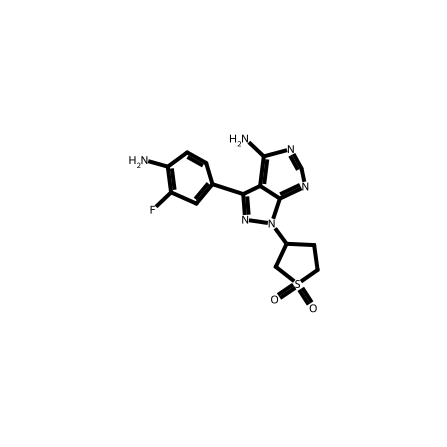 Nc1ccc(-c2nn(C3CCS(=O)(=O)C3)c3ncnc(N)c23)cc1F